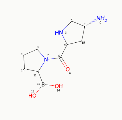 N[C@H]1CNC(C(=O)N2CCCC2B(O)O)C1